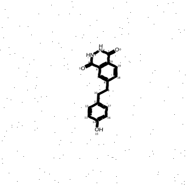 O=c1[nH][nH]c(=O)c2cc(CCc3ccc(O)cc3)ccc12